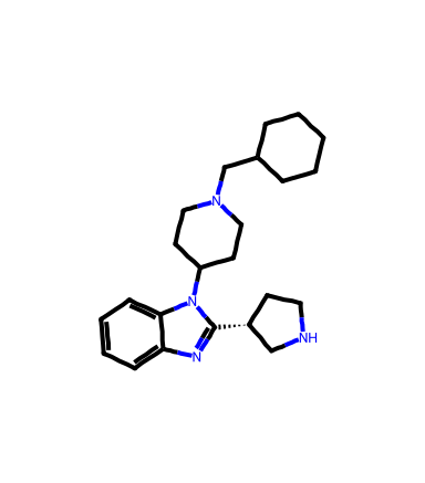 c1ccc2c(c1)nc([C@@H]1CCNC1)n2C1CCN(CC2CCCCC2)CC1